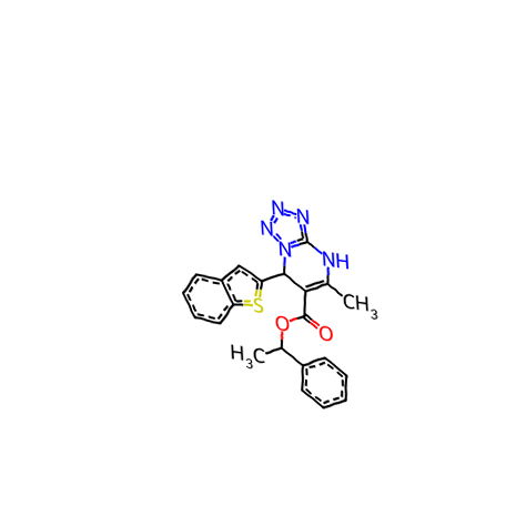 CC1=C(C(=O)OC(C)c2ccccc2)C(c2cc3ccccc3s2)n2nnnc2N1